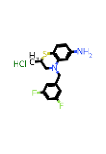 CC1CN(Cc2cc(F)cc(F)c2)c2cc(N)ccc2S1.Cl